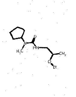 CCOC(C)CNC(=O)N(C)C1CCCC1